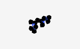 c1ccc(-c2cc(-c3cccc(-c4cc(-c5ccccc5)nc(-c5cccc(-n6c7ccccc7c7ccccc76)c5)c4)c3)cc(-c3cccc(-n4c5ccccc5c5ccccc54)c3)n2)cc1